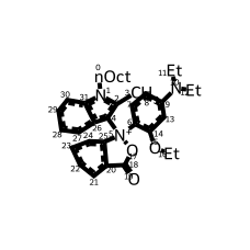 CCCCCCCCn1c(C)c([N+]2(c3ccc(N(CC)CC)cc3OCC)OC(=O)c3ccccc32)c2ccccc21